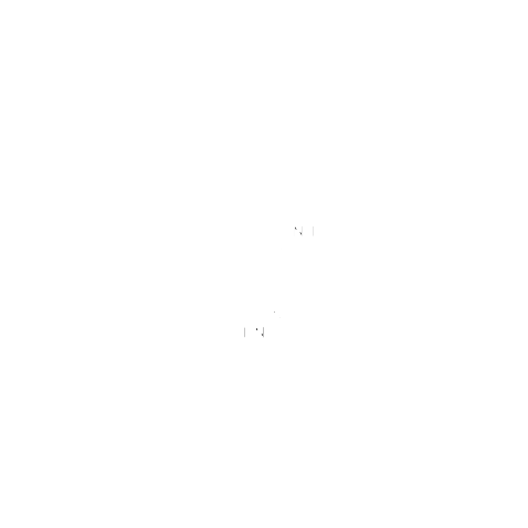 Nc1cc(SNC2CCCCC2)ccc1C#Cc1ccccc1